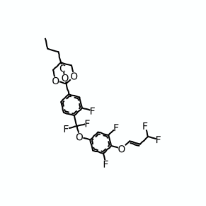 CCCC12COC(c3ccc(C(F)(F)Oc4cc(F)c(O/C=C/C(F)F)c(F)c4)c(F)c3)(OC1)OC2